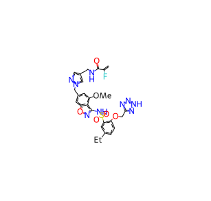 C=C(F)C(=O)NCc1cnn(Cc2cc(OC)c3c(NS(=O)(=O)c4cc(CC)ccc4OCc4nn[nH]n4)noc3c2)c1